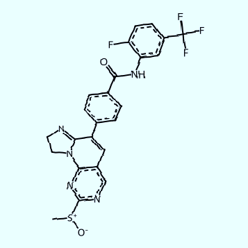 C[S+]([O-])c1ncc2c(n1)N1CCN=C1C(c1ccc(C(=O)Nc3cc(C(F)(F)F)ccc3F)cc1)=C2